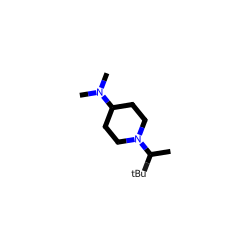 CC(N1CCC(N(C)C)CC1)C(C)(C)C